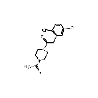 NC(=S)N1CCN(C(=O)Cc2cc(Cl)ccc2Cl)CC1